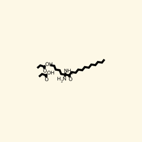 CCC(=O)O.CCC(=O)O.CCCCCCCCCCCC(=O)C(N)(N)CCCCC